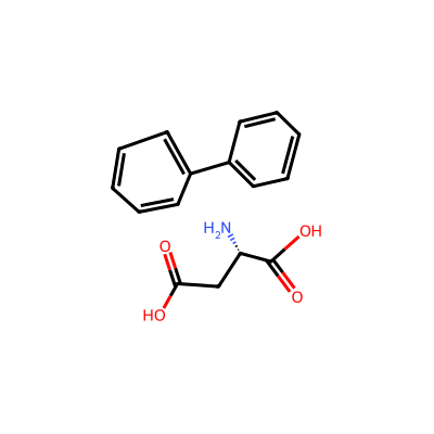 N[C@@H](CC(=O)O)C(=O)O.c1ccc(-c2ccccc2)cc1